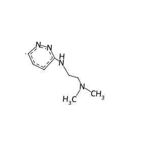 CN(C)CCNc1cc[c]nn1